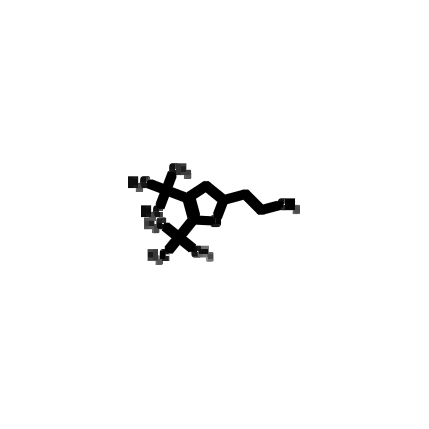 CCCC1CC(C(C)(C)C)=C(C(C)(C)C)O1